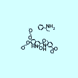 CCC(N)c1ccccc1.COCCOc1cc2cc(C(=O)Nc3cc(C(=O)OC)ccc3C)c(=O)[nH]c2cc1OCCOC